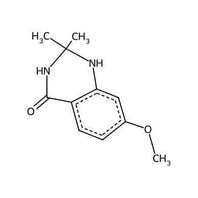 COc1ccc2c(c1)NC(C)(C)NC2=O